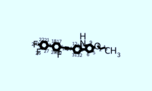 CCCOc1ccc2c(c1)[nH]c1cc(C#Cc3ccc(-c4ccc(F)c(F)c4)cc3F)ccc12